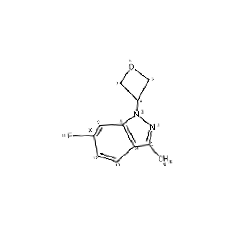 Cc1nn(C2COC2)c2cc(F)ccc12